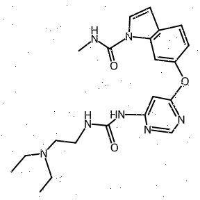 CCN(CC)CCNC(=O)Nc1cc(Oc2ccc3ccn(C(=O)NC)c3c2)ncn1